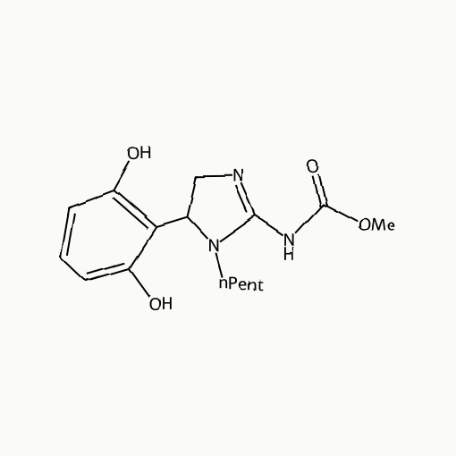 CCCCCN1C(NC(=O)OC)=NCC1c1c(O)cccc1O